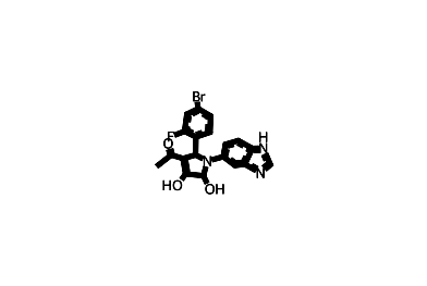 CC(=O)C1=C(O)C(O)N(c2ccc3[nH]cnc3c2)C1c1ccc(Br)cc1F